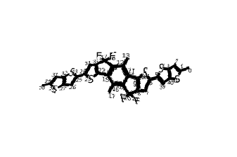 Cc1cc2sc(-c3cc4c(s3)-c3c(C)c5c(c(C)c3C4(F)F)-c3sc(-c4cc6sc(C)cc6s4)cc3C5(F)F)cc2s1